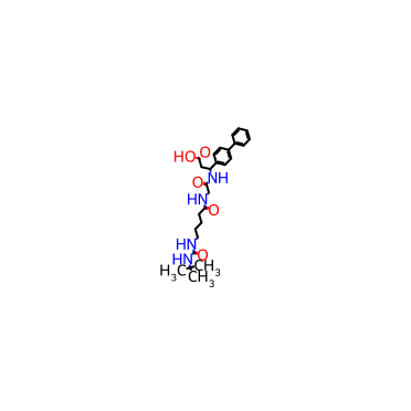 CC(C)(C)NC(=O)NCCCCC(=O)NCC(=O)NC(CC(=O)O)c1ccc(-c2ccccc2)cc1